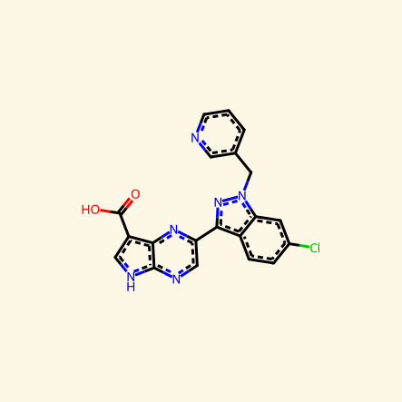 O=C(O)c1c[nH]c2ncc(-c3nn(Cc4cccnc4)c4cc(Cl)ccc34)nc12